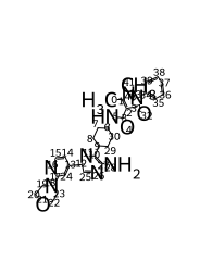 Cc1c(C(=O)NC2CCC(c3nc(-c4ccnc(N5CCOCC5)c4)cnc3N)CC2)c(=O)n(-c2ccccc2)n1C